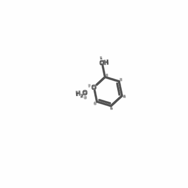 O.OC1C=CC=CO1